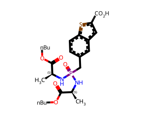 CCCCOC(=O)[C@H](C)NP(=O)(Cc1ccc2sc(C(=O)O)cc2c1)N[C@@H](C)C(=O)OCCCC